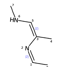 C/C=N\C(C)=C/NC